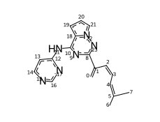 C=C(/C=C\C=C(C)C)c1nc(Nc2ccncn2)c2cccn2n1